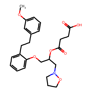 COc1cccc(CCc2ccccc2OCC(CN2CCCO2)OC(=O)CCC(=O)O)c1